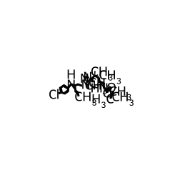 C/C=C/C(CCN(C)/N=N\C(C)[C@@H](C)C(C)CCNC(=O)OC(C)(C)C)Nc1ccc(Cl)cc1